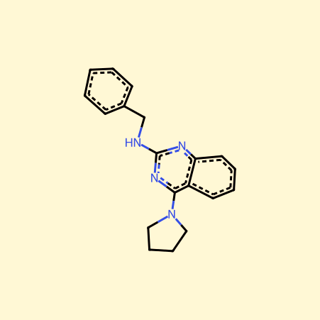 c1ccc(CNc2nc(N3CCCC3)c3ccccc3n2)cc1